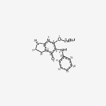 CCCCOc1nc2n(c(=O)c1Nc1ccccc1)CCS2